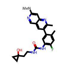 CNc1cc2nc(C)c(-c3cc(NC(=O)NCCC4(O)CC4)c(F)cc3C)cc2cn1